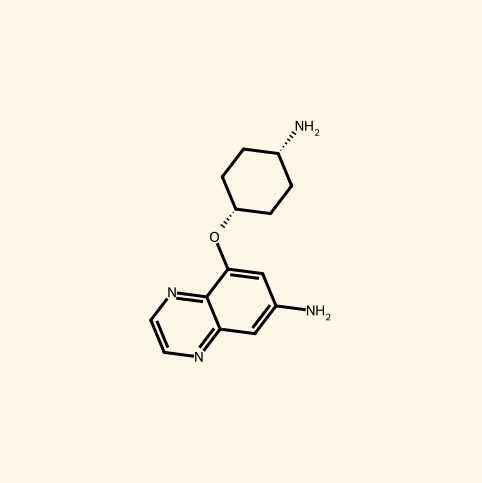 Nc1cc(O[C@H]2CC[C@@H](N)CC2)c2nccnc2c1